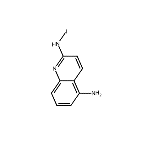 Nc1cccc2nc(NI)ccc12